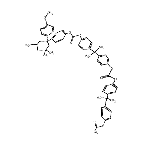 COc1ccc(C2(c3ccc(OC(=O)Oc4ccc(C(C)(C)c5ccc(OC(=O)Oc6ccc(C(C)(C)c7ccc(OC(C)=O)cc7)cc6)cc5)cc4)cc3)CC(C)CC(C)(C)C2)cc1